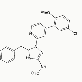 COc1ccc(Cl)cc1-c1ccnc(N2N=C(NC=O)NC2Cc2ccccc2)c1